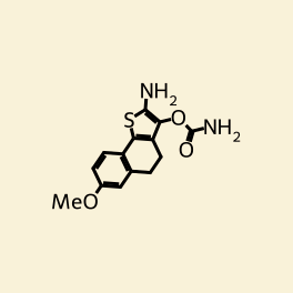 COc1ccc2c(c1)CCc1c-2sc(N)c1OC(N)=O